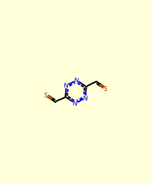 S=Cc1nnc(C=S)nn1